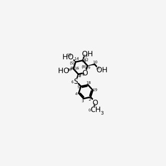 COc1ccc(S[C@@H]2O[C@H](CO)[C@H](O)[C@H](O)[C@H]2O)cc1